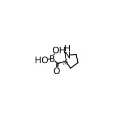 O=C(B(O)O)[C@@H]1CCCN1